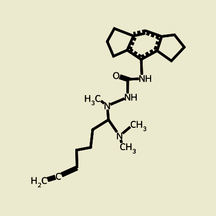 C=C=CCCCC(N(C)C)N(C)NC(=O)Nc1c2c(cc3c1CCC3)CCC2